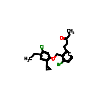 CCC(=O)CCc1cccc(Br)c1COc1cc(Cl)c(CC)cc1C1CC1